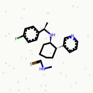 CNC=S.C[C@@H](N[C@@H]1CCCC[C@H]1c1cccnc1)c1ccc(F)cc1